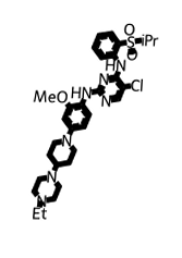 CCN1CCN(C2CCN(c3ccc(Nc4ncc(Cl)c(Nc5ccccc5S(=O)(=O)C(C)C)n4)c(OC)c3)CC2)CC1